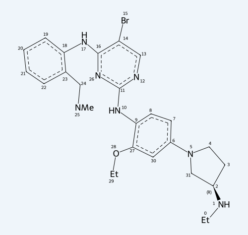 CCN[C@@H]1CCN(c2ccc(Nc3ncc(Br)c(Nc4ccccc4CNC)n3)c(OCC)c2)C1